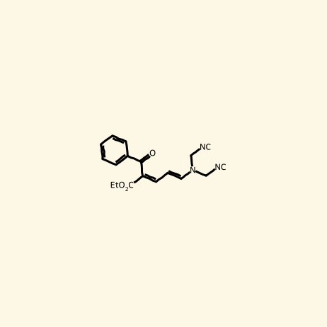 [C-]#[N+]CN(/C=C/C=C(/C(=O)OCC)C(=O)c1ccccc1)C[N+]#[C-]